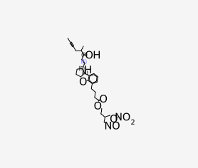 CC#CCC(C)[C@@H](O)/C=C/[C@@H]1CCC2Oc3c(CCCC(=O)OCCC(CN=O)CO[N+](=O)[O-])cccc3[C@H]21